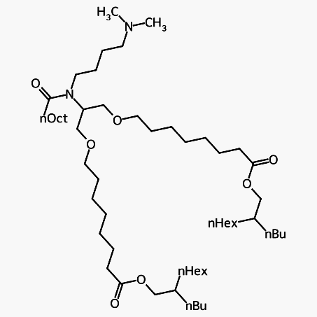 CCCCCCCCC(=O)N(CCCCN(C)C)C(COCCCCCCCC(=O)OCC(CCCC)CCCCCC)COCCCCCCCC(=O)OCC(CCCC)CCCCCC